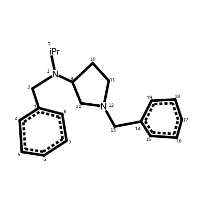 CC(C)N(Cc1ccccc1)C1CCN(Cc2ccccc2)C1